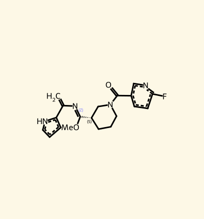 C=C(/N=C(\OC)[C@H]1CCCN(C(=O)c2ccc(F)nc2)C1)c1ccc[nH]1